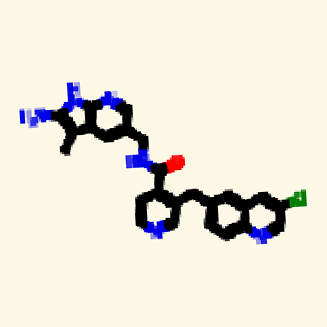 Cc1c(N)[nH]c2ncc(CNC(=O)c3ccncc3Cc3ccc4ncc(Cl)cc4c3)cc12